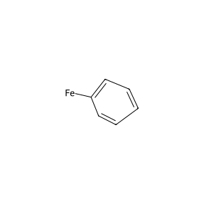 [Fe][c]1ccccc1